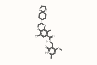 CSc1cc(C)[nH]c(=O)c1CNC(=O)c1cc(Cl)c2c(c1C)O[C@@H](C1CCC3(CC1)OCCO3)CO2